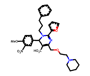 COc1ccc(C2C(C(=O)O)=C(COCCN3CCCCC3)N=C(c3ccco3)N2CCCc2ccccc2)cc1[N+](=O)[O-]